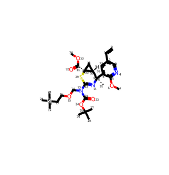 C=Cc1cnc(OC)c([C@@]2(C)N=C(N(COCC[Si](C)(C)C)C(=O)OC(C)(C)C)S[C@@]3(C(=O)OC)C[C@H]32)c1